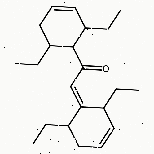 CCC1C=CCC(CC)/C1=C/C(=O)C1C(CC)C=CCC1CC